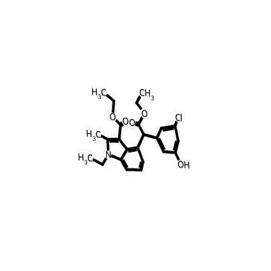 CCOC(=O)c1c(C)n(CC)c2cccc(C(C(=O)OCC)c3cc(O)cc(Cl)c3)c12